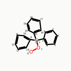 [O]O[Si](c1ccccc1)(c1ccccc1)c1ccccc1